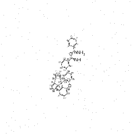 N=C(OC(N)c1ccccc1)c1cccc(-c2ccc3c(c2)C2(c4ccccc4O3)c3ccccc3-c3ccccc32)c1